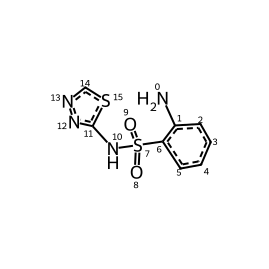 Nc1ccccc1S(=O)(=O)Nc1nncs1